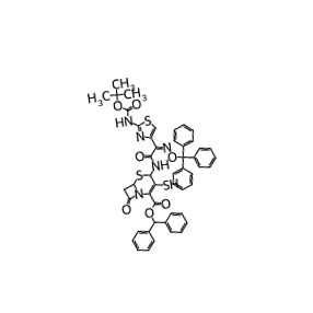 CC(C)(C)OC(=O)Nc1nc(C(=NOC(c2ccccc2)(c2ccccc2)c2ccccc2)C(=O)NC2SC3CC(=O)N3C(C(=O)OC(c3ccccc3)c3ccccc3)=C2S)cs1